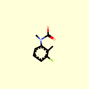 Cc1c(F)cccc1N(C)C([O])=O